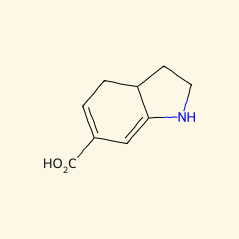 O=C(O)C1=CCC2CCNC2=C1